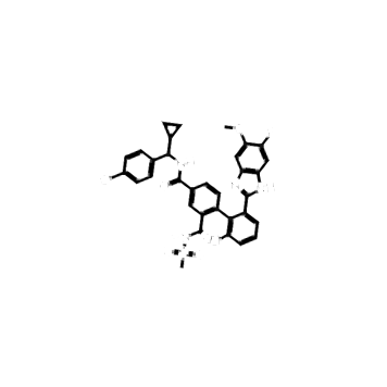 COc1cc2nc(-c3cccc(Cl)c3-c3ccc(C(=O)NC(c4ccc(Cl)cc4)C4CC4)cc3C(=O)NS(C)(=O)=O)[nH]c2cc1F